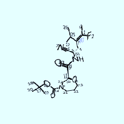 C/C(F)=C(/C[C@@H](C#N)NC(=O)[C@@H]1CN(C(=O)OC(C)(C)C)CCCO1)C(C)C